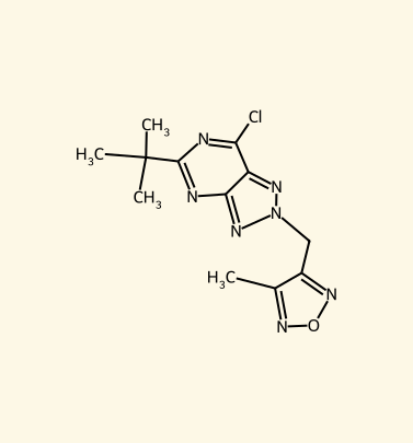 Cc1nonc1Cn1nc2nc(C(C)(C)C)nc(Cl)c2n1